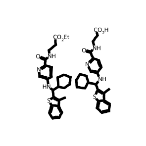 CCOC(=O)CCNC(=O)c1ccc(NC(c2sc3ccccc3c2C)C2CCCCC2)cn1.Cc1c(C(Nc2ccc(C(=O)NCCC(=O)O)nc2)C2CCCCC2)sc2ccccc12